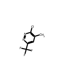 Cc1cc(C(F)(F)F)nnc1Cl